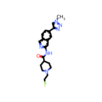 Cn1cc(-c2ccc3cnc(NC(=O)C4CCN(CCF)CC4)cc3c2)nn1